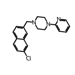 Clc1ccc2ccc(CN3CCN(c4ccccn4)CC3)cc2c1